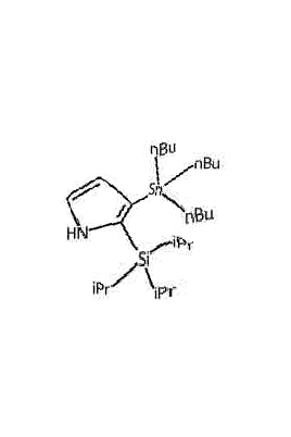 CCC[CH2][Sn]([CH2]CCC)([CH2]CCC)[c]1cc[nH]c1[Si](C(C)C)(C(C)C)C(C)C